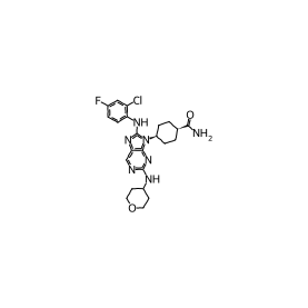 NC(=O)[C@H]1CC[C@@H](n2c(Nc3ccc(F)cc3Cl)nc3cnc(NC4CCOCC4)nc32)CC1